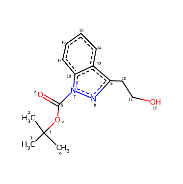 CC(C)(C)OC(=O)n1nc(CCO)c2ccccc21